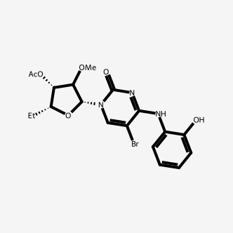 CC[C@H]1O[C@@H](n2cc(Br)c(Nc3ccccc3O)nc2=O)C(OC)[C@H]1OC(C)=O